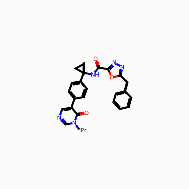 CC(C)n1cncc(-c2ccc(C3(NC(=O)c4nnc(Cc5ccccc5)o4)CC3)cc2)c1=O